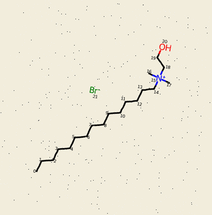 CCCCCCCCCCCCCCC[N+](C)(C)CCO.[Br-]